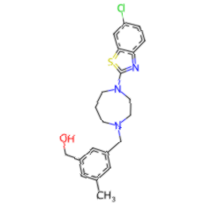 Cc1cc(CO)cc(CN2CCCN(c3nc4ccc(Cl)cc4s3)CC2)c1